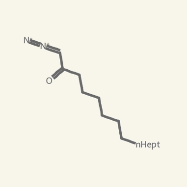 CCCCCCCCCCCCCC(=O)C=[N+]=[N-]